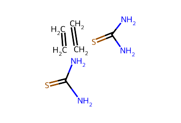 C=C.C=C.NC(N)=S.NC(N)=S